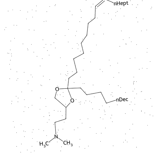 CCCCCCC/C=C\CCCCCCCCC1(CCCCCCCCCCCCCC)OCC(CCN(C)C)O1